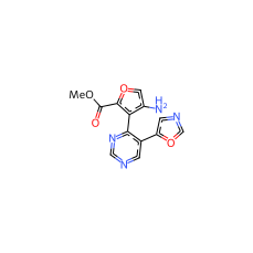 COC(=O)c1occ(N)c1-c1ncncc1-c1cnco1